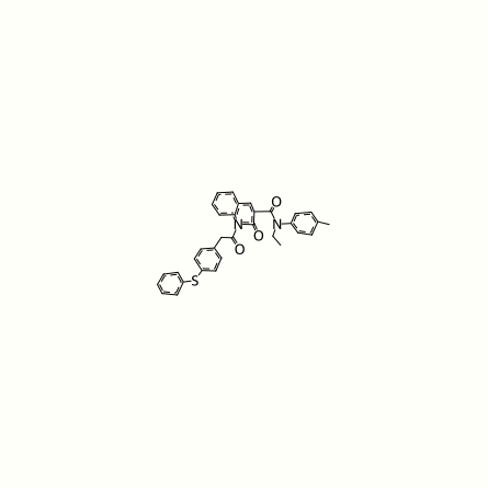 CCN(C(=O)c1cc2ccccc2n(C(=O)Cc2ccc(Sc3ccccc3)cc2)c1=O)c1ccc(C)cc1